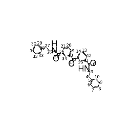 O=C(NCCc1ccccc1)c1cccc(C(=O)c2cccc(C(=O)NCCc3ccccc3)c2)c1